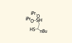 CCCCC(S)C[SiH](OC(C)C)OC(C)C